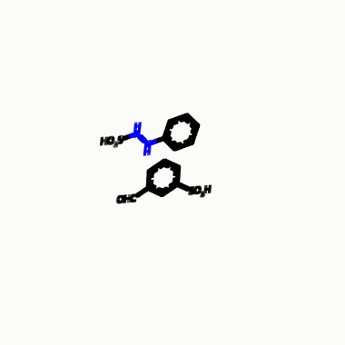 O=Cc1cccc(S(=O)(=O)O)c1.O=S(=O)(O)NNc1ccccc1